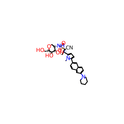 C/C(=C(/C#N)S(=O)(=O)N[C@H]1CO[C@H](CO)[C@@H](O)[C@@H]1O)c1ccc(-c2ccc3cc(N4CCCCC4)ccc3c2)n1C